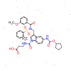 COc1cccc(C(=O)N(Cc2cn(C(=O)NCCC(=O)O)c3ccc(NC(=O)OC4CCCC4)cc23)S(=O)(=O)c2ccccc2C)c1